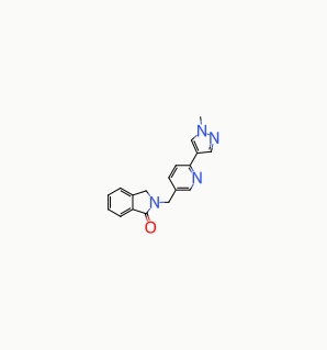 Cn1cc(-c2ccc(CN3Cc4ccccc4C3=O)cn2)cn1